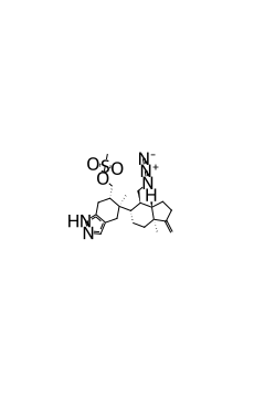 C=C1CC[C@H]2[C@H](CN=[N+]=[N-])[C@@H]([C@@]3(C)Cc4cn[nH]c4C[C@@H]3COS(C)(=O)=O)CC[C@]12C